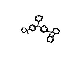 CC1(c2ccc(N(c3ccccc3)c3ccc(-n4c5ccccc5c5ccccc54)cc3)cc2)CC=CC1